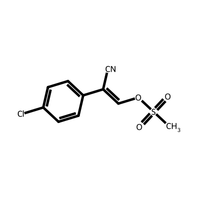 CS(=O)(=O)O/C=C(\C#N)c1ccc(Cl)cc1